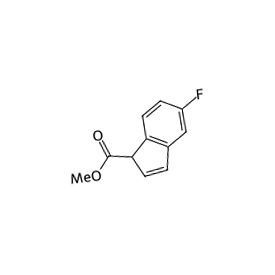 COC(=O)C1C=Cc2cc(F)ccc21